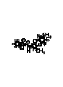 Cc1cc(NC(=O)NC(=O)c2ccccc2Cl)ccc1Oc1c(F)c(F)c(C)c(F)c1Cl